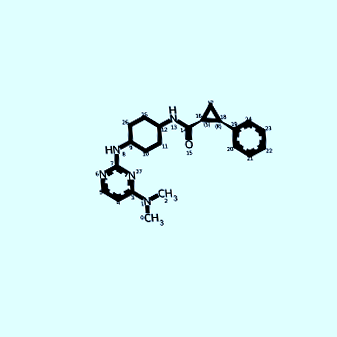 CN(C)c1ccnc(NC2CCC(NC(=O)[C@H]3C[C@H]3c3ccccc3)CC2)n1